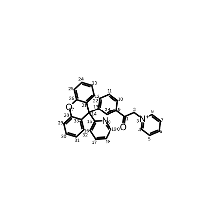 O=C(C[n+]1ccccc1)c1cccc(C2(c3ccccn3)c3ccccc3Oc3ccccc32)c1